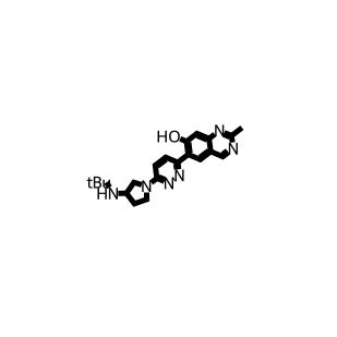 Cc1ncc2cc(-c3ccc(N4CCC(NC(C)(C)C)C4)nn3)c(O)cc2n1